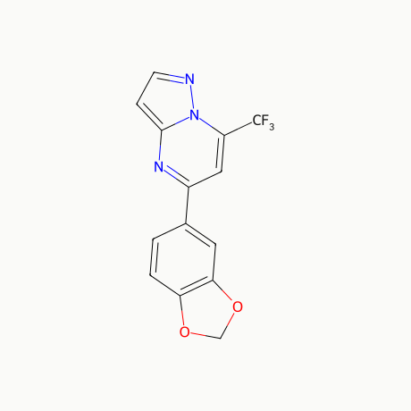 FC(F)(F)c1cc(-c2ccc3c(c2)OCO3)nc2ccnn12